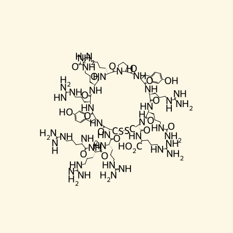 N=C(N)NCCC[C@H](NC(=O)[C@@H]1CSSC[C@H](NC(=O)[C@H](CCCNC(=N)N)NC(=O)[C@H](CCCNC(=N)N)NC(=O)[C@@H](N)CCCNC(=N)N)C(=O)N[C@@H](Cc2ccc(O)cc2)C(=O)N[C@@H](CCCNC(=N)N)C(=O)N[C@@H](CCCNC(N)=O)C(=O)N[C@H](CCCCN)C(=O)N2CCC[C@H]2C(=O)N[C@@H](Cc2ccc(O)cc2)C(=O)N[C@@H](CCCNC(=N)N)C(=O)N[C@@H](CCCNC(N)=O)C(=O)N1)C(=O)O